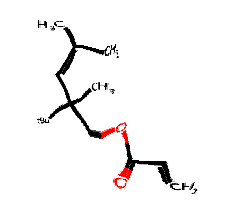 C=CC(=O)OCC(C)(C=C(C)C)C(C)(C)C